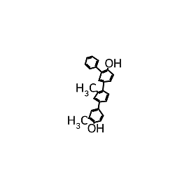 Cc1cc(-c2ccc(-c3ccc(O)c(-c4ccccc4)c3)c(C)c2)ccc1O